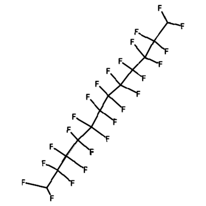 F[C](F)C(F)(F)C(F)(F)C(F)(F)C(F)(F)C(F)(F)C(F)(F)C(F)(F)C(F)(F)C(F)(F)C(F)(F)C(F)F